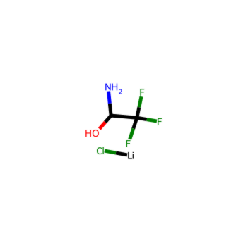 NC(O)C(F)(F)F.[Li][Cl]